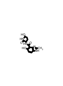 Cc1nc2c(C(=O)NC3CCC(O)NC3=O)c(O)ccc2[nH]1